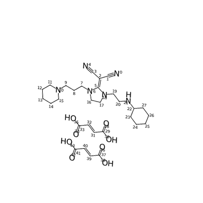 N#CC(C#N)=C1N(CCCN2CCCCC2)CCN1CCNC1CCCCC1.O=C(O)/C=C/C(=O)O.O=C(O)/C=C/C(=O)O